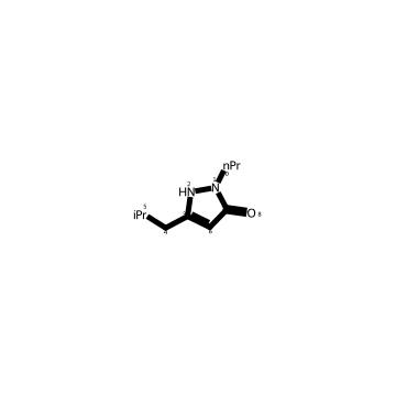 CCCn1[nH]c(CC(C)C)cc1=O